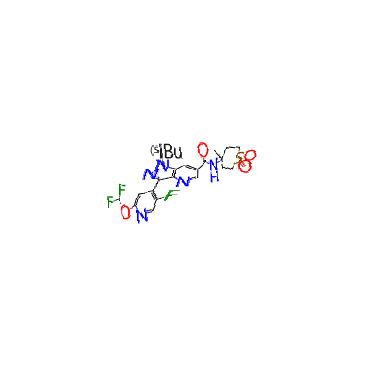 CC[C@H](C)n1nc(-c2cc(OC(F)F)ncc2F)c2ncc(C(=O)NC3(C)CCS(=O)(=O)CC3)cc21